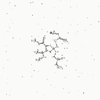 C=CC(=C)OCC(CCC(=O)C=C)(CCC(=O)C=C)COC(=C)C=C